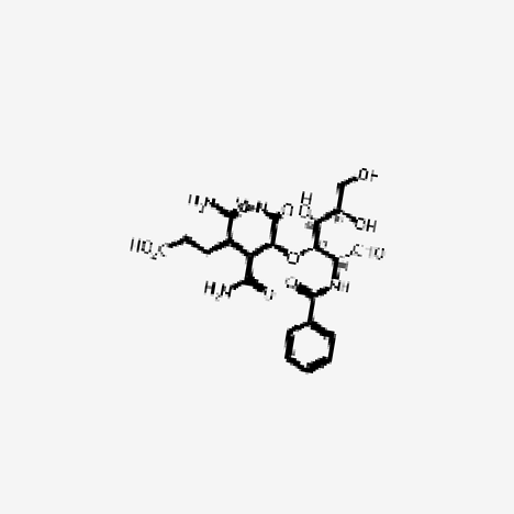 CNC(=O)C(O[C@@H]([C@H](O)[C@H](O)CO)[C@H](C=O)NC(=O)c1ccccc1)C(C(N)=O)C(CCC(=O)O)C(N)=O